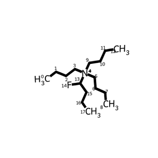 CCCC[N+](CCCC)(CCCC)C(F)CCC